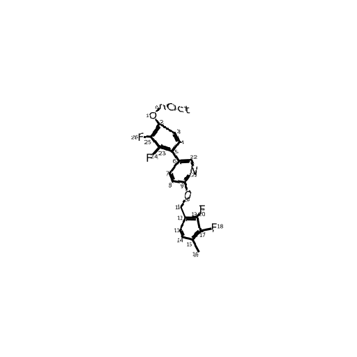 CCCCCCCCOc1ccc(-c2ccc(OCc3ccc(C)c(F)c3F)nc2)c(F)c1F